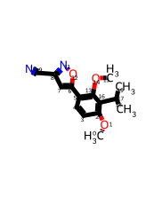 COc1ccc(-c2cc(C#N)no2)c(OC)c1C(C)C